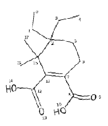 CCC1(CC)CCC(C(=O)O)=C(C(=O)O)C1(C)C